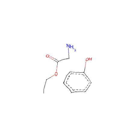 CCOC(=O)CN.Oc1ccccc1